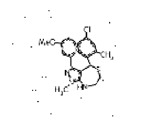 COc1ccnc(-c2nn(C)c3c2C(c2ccc(Cl)cc2C)SCCN3)c1